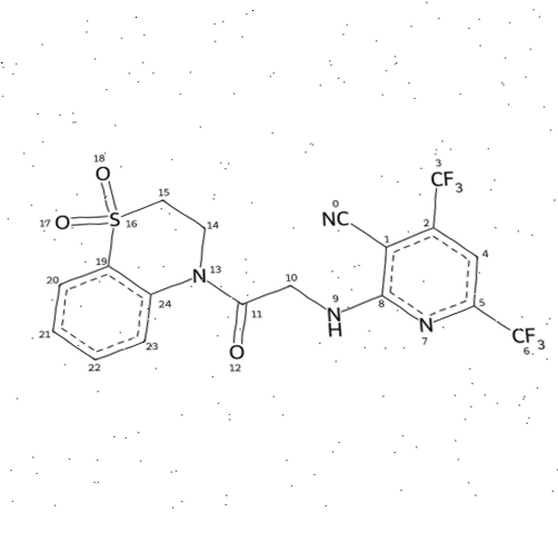 N#Cc1c(C(F)(F)F)cc(C(F)(F)F)nc1NCC(=O)N1CCS(=O)(=O)c2ccccc21